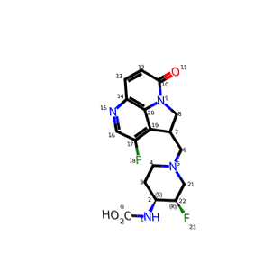 O=C(O)N[C@H]1CCN(CC2Cn3c(=O)ccc4ncc(F)c2c43)C[C@H]1F